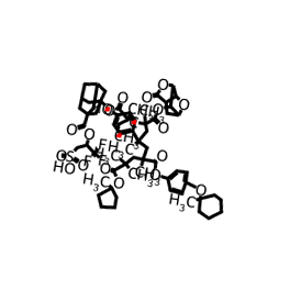 CCC(C)(CC(C)(CC(C)(CC(C)(CC(C)(C)C(=O)OC1(C)CCCC1)C(=O)Oc1ccc(OC2(C)CCCCC2)cc1)c1ccc(O)cc1)C(=O)OC1C2CC3C(=O)OC1C3O2)C(=O)OC12CC3CC(C1)CC(C(=O)OC(CS(=O)(=O)O)C(F)(F)F)(C3)C2